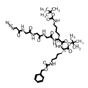 CC(C)(C)OC(=O)NCCCC[C@H](NC(=O)CNC(=O)CNC(=O)CNC(=O)CN=[N+]=[N-])C(=O)N[C@@H](CCCCNC(=O)OCc1ccccc1)C(=O)OC(C)(C)C